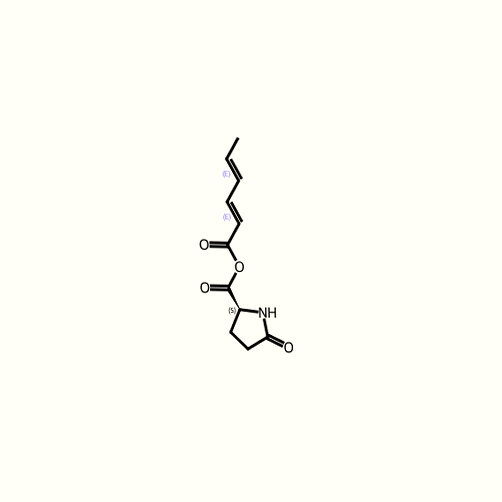 C/C=C/C=C/C(=O)OC(=O)[C@@H]1CCC(=O)N1